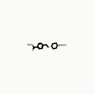 CCCCC[C@H]1CC[C@H](CCc2ccc(C(=O)OC)cc2)CC1